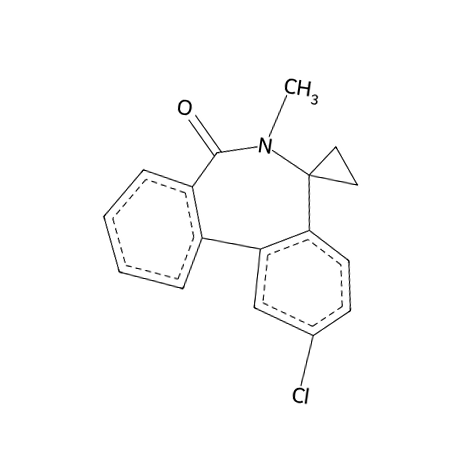 CN1C(=O)c2ccccc2-c2cc(Cl)ccc2C12CC2